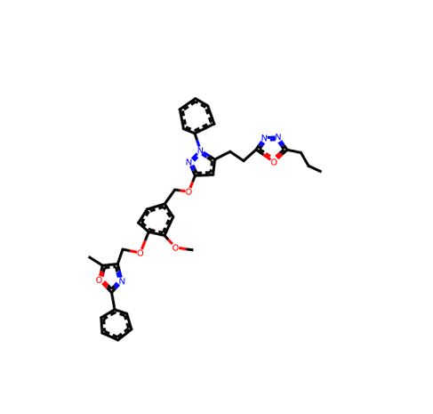 CCCc1nnc(CCc2cc(OCc3ccc(OCc4nc(-c5ccccc5)oc4C)c(OC)c3)nn2-c2ccccc2)o1